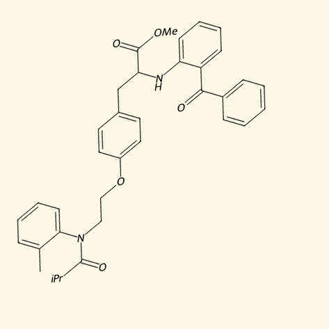 COC(=O)C(Cc1ccc(OCCN(C(=O)C(C)C)c2ccccc2C)cc1)Nc1ccccc1C(=O)c1ccccc1